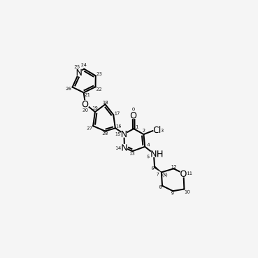 O=c1c(Cl)c(NC[C@@H]2CCCOC2)cnn1-c1ccc(Oc2cccnc2)cc1